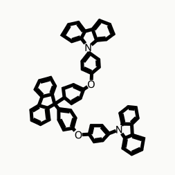 C1=CC(C2(c3ccc(Oc4ccc(-n5c6ccccc6c6ccccc65)cc4)cc3)c3ccccc3-c3ccccc32)CC=C1Oc1ccc(-n2c3ccccc3c3ccccc32)cc1